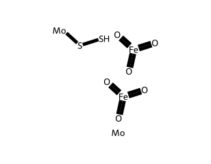 S[S][Mo].[Mo].[O]=[Fe](=[O])=[O].[O]=[Fe](=[O])=[O]